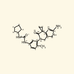 Cc1ccc(NC(=O)NC2CCCC2)cc1N1Cc2cnc(N)nc2C2(CC2)C1=O